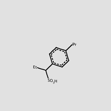 [CH2]CC(c1ccc(C(C)C)cc1)S(=O)(=O)O